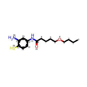 CCCCOCCCCC(=O)Nc1ccc(S)c(N)c1